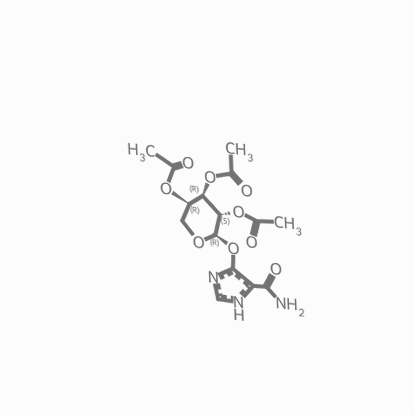 CC(=O)O[C@@H]1[C@@H](Oc2nc[nH]c2C(N)=O)OC[C@@H](OC(C)=O)[C@H]1OC(C)=O